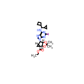 CCOC(=O)[C@@]12C[C@@H]1[C@@H](n1cnc3c(N[C@H](C4CCC4)C4CC4)nc(I)nc31)[C@@H]1OC(C)(C)O[C@@H]12